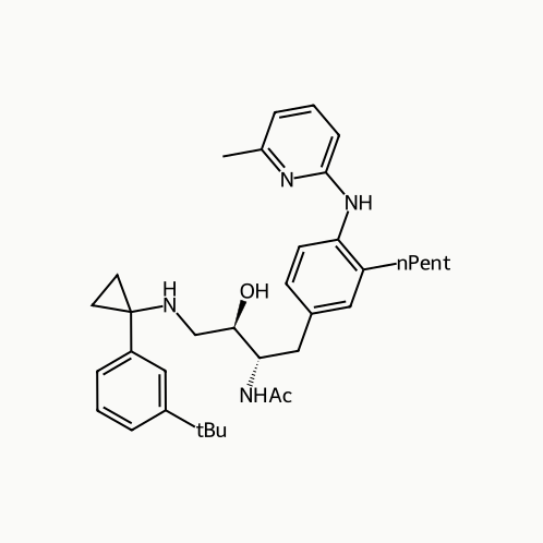 CCCCCc1cc(C[C@H](NC(C)=O)[C@H](O)CNC2(c3cccc(C(C)(C)C)c3)CC2)ccc1Nc1cccc(C)n1